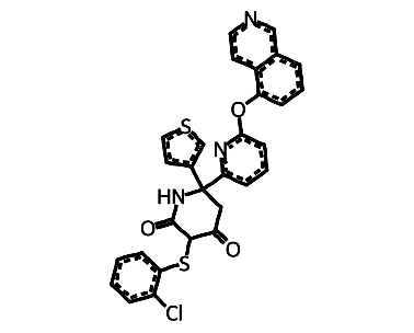 O=C1CC(c2ccsc2)(c2cccc(Oc3cccc4cnccc34)n2)NC(=O)C1Sc1ccccc1Cl